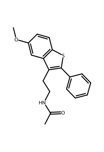 COc1ccc2sc(-c3ccccc3)c(CCNC(C)=O)c2c1